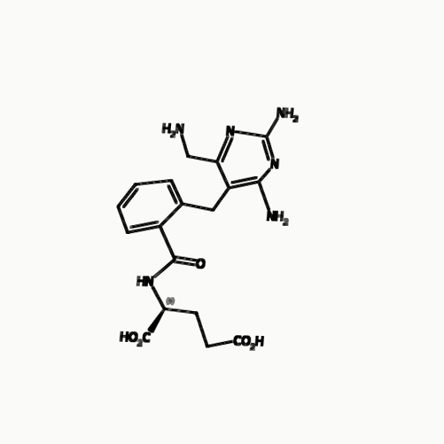 NCc1nc(N)nc(N)c1Cc1ccccc1C(=O)N[C@@H](CCC(=O)O)C(=O)O